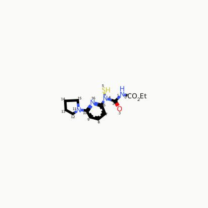 CCOC(=O)NC(=O)N(S)c1cccc(N2CCCC2)n1